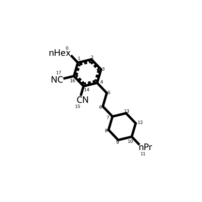 CCCCCCc1ccc(CCC2CCC(CCC)CC2)c(C#N)c1C#N